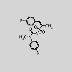 CC(=Cc1ccc(F)cc1)S(=O)(=O)NC(=O)N(C)c1ccc(F)cc1